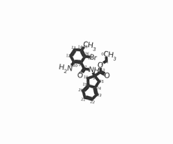 CCOC(=O)C1(NC(=O)c2c(N)ccc(C)c2Br)Cc2ccccc2C1